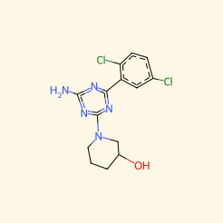 Nc1nc(-c2cc(Cl)ccc2Cl)nc(N2CCCC(O)C2)n1